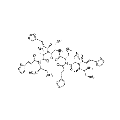 NC[C@H](NC(=O)[C@H](CN)N(C(=O)C=Cc1ccco1)C(=O)[C@H](CN)N(C(=O)C=Cc1ccco1)C(=O)[C@@H](N)CN)C(=O)N(C(=O)C=Cc1ccco1)[C@@H](CN)C(=O)N(C(=O)C=Cc1ccco1)[C@@H](CN)C(=O)O